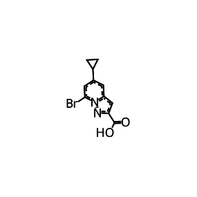 O=C(O)c1cc2cc(C3CC3)cc(Br)n2n1